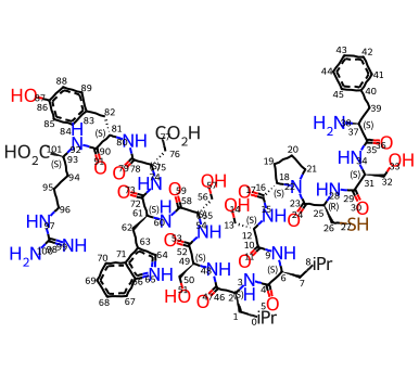 CC(C)C[C@H](NC(=O)[C@H](CC(C)C)NC(=O)[C@H](CO)NC(=O)[C@@H]1CCCN1C(=O)[C@H](CS)NC(=O)[C@H](CO)NC(=O)[C@@H](N)Cc1ccccc1)C(=O)N[C@@H](CO)C(=O)N[C@@H](CO)C(=O)N[C@@H](Cc1c[nH]c2ccccc12)C(=O)N[C@@H](CC(=O)O)C(=O)N[C@@H](Cc1ccc(O)cc1)C(=O)N[C@@H](CCCNC(=N)N)C(=O)O